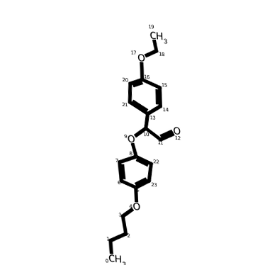 CCCCOc1ccc(OC(C=O)c2ccc(OCC)cc2)cc1